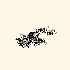 CC[C@H](C)[C@H](NC(=O)[C@@H](N)C(C)(C)C)C(=O)N[C@H](C(=O)N[C@H](C(=O)N[C@H](C(=O)N[C@@H](CC(=O)O)C(=O)N[C@@H](CCC(N)=O)C(=O)N[C@@H](Cc1ccc(O)cc1)C(=O)N[C@@H](CCCNC(=N)N)C(=O)O)[C@@H](C)O)[C@@H](C)CC)C(C)(C)C